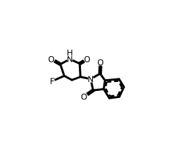 O=C1NC(=O)C(N2C(=O)c3ccccc3C2=O)CC1F